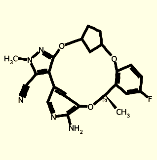 C[C@H]1Oc2cc(cnc2N)-c2c(nn(C)c2C#N)OC2CCC(C2)Oc2ccc(F)cc21